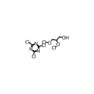 Clc1nc(Cl)nc(Cl)n1.OCC(COCl)OCl